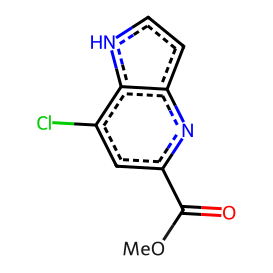 COC(=O)c1cc(Cl)c2[nH]ccc2n1